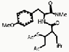 CNC(=O)C(Cc1ccc(OC)cc1)NC(=O)C(CC(C)C)C(CC(C)=O)SC(C)=O